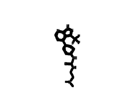 CN(C)CCNC(=O)Nc1ccc(-c2ccnc3[nH]nc(C(F)(F)F)c23)cc1